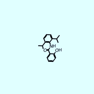 CC(C)c1cccc(C(C)C)c1NC(=O)c1ccccc1O